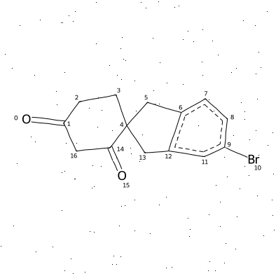 O=C1CCC2(Cc3ccc(Br)cc3C2)C(=O)C1